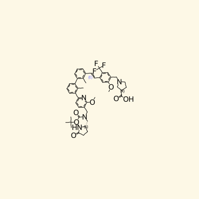 COc1cc(/C=C/c2cccc(-c3cccc(-c4ccc(CN(C[C@@H]5CCC(=O)N5)C(=O)OC(C)(C)C)c(OC)n4)c3C)c2C)c(C(F)(F)F)cc1CN1CC[C@@H](C(=O)O)C1